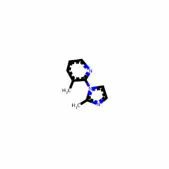 Cc1cccnc1-n1ccnc1C